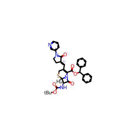 CC(C)(C)OC(=O)N[C@@H]1C(=O)N2C(C(=O)OC(c3ccccc3)c3ccccc3)=C(/C=C3\CCN(c4cccnc4)C3=O)CS[C@H]12